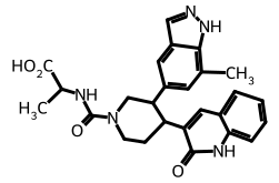 Cc1cc(C2CN(C(=O)NC(C)C(=O)O)CCC2c2cc3ccccc3[nH]c2=O)cc2cn[nH]c12